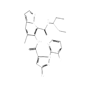 CCC(CC)NC(=O)c1c(NC(=O)c2cc(Br)nn2-c2ncccc2Cl)c(C)cc2ccnn12